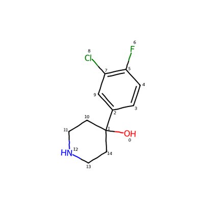 OC1(c2ccc(F)c(Cl)c2)CCNCC1